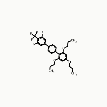 CCCOc1cc(OCCC)c(-c2ccc(-c3cc(F)c(C(F)(F)F)c(F)c3)cc2)c(OCCC)c1